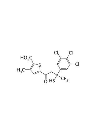 Cc1cc(C(=O)CC(S)(c2cc(Cl)c(Cl)c(Cl)c2)C(F)(F)F)sc1C(=O)O